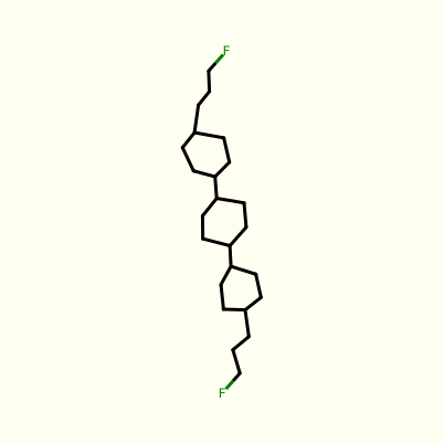 FCCCC1CCC(C2CCC(C3CCC(CCCF)CC3)CC2)CC1